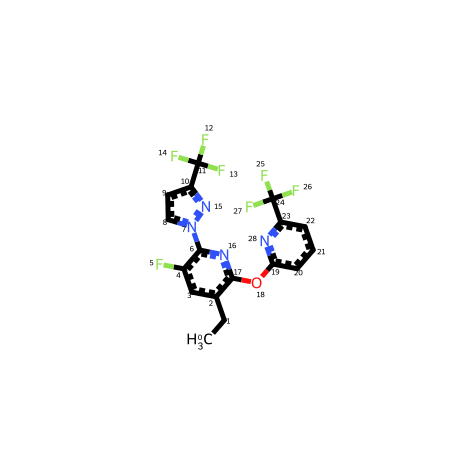 CCc1cc(F)c(-n2ccc(C(F)(F)F)n2)nc1Oc1cccc(C(F)(F)F)n1